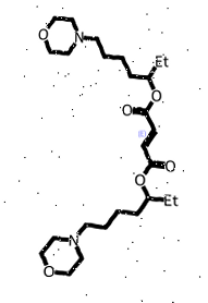 CCC(CCCCN1CCOCC1)OC(=O)/C=C/C(=O)OC(CC)CCCCN1CCOCC1